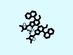 CCc1ccc2c(c1-c1cccc3ccccc13)C=C(c1cc(C)c(C)o1)[CH]2[Zr]([CH]1C(c2cc(C)c(C)o2)=Cc2c1ccc(CC)c2-c1cccc2ccccc12)=[Si](C)C